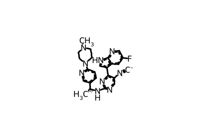 [C-]#[N+]c1cnc(N[C@@H](C)c2ccc(N3CCN(C)CC3)nc2)nc1-c1c[nH]c2ncc(F)cc12